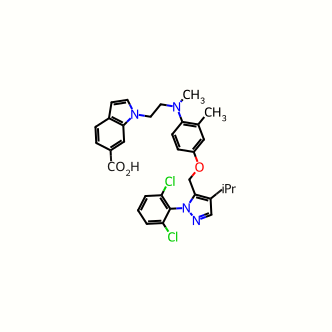 Cc1cc(OCc2c(C(C)C)cnn2-c2c(Cl)cccc2Cl)ccc1N(C)CCn1ccc2ccc(C(=O)O)cc21